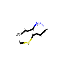 CC(C)CCN.CCCSC